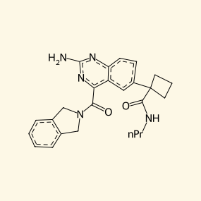 CCCNC(=O)C1(c2ccc3nc(N)nc(C(=O)N4Cc5ccccc5C4)c3c2)CCC1